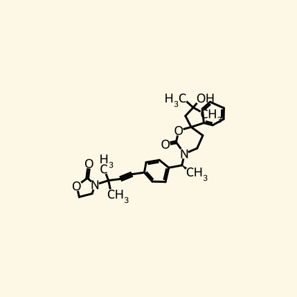 C[C@@H](c1ccc(C#CC(C)(C)N2CCOC2=O)cc1)N1CCC(CC(C)(C)O)(c2ccccc2)OC1=O